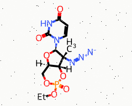 CCOP1(=O)OC[C@H]2O[C@@H](n3ccc(=O)[nH]c3=O)[C@](C)(N=[N+]=[N-])[C@@H]2O1